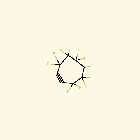 F[C]1C(F)(F)C(F)(F)C#CC(F)(F)C(F)(F)C1(F)F